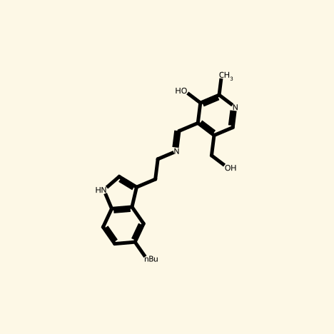 CCCCc1ccc2[nH]cc(CCN=Cc3c(CO)cnc(C)c3O)c2c1